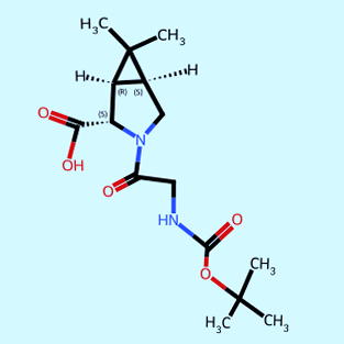 CC(C)(C)OC(=O)NCC(=O)N1C[C@H]2[C@@H]([C@H]1C(=O)O)C2(C)C